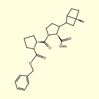 COC(=O)[C@@H]1C(C2C[C@H]3CCC23)CCN1C(=O)[C@@H]1CCCN1C(=O)OCc1ccccc1